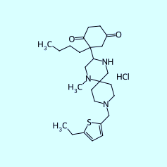 CCCCC1(C2CN(C)C3(CCN(Cc4ccc(CC)s4)CC3)CN2)CC(=O)CCC1=O.Cl